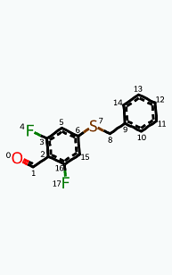 O=Cc1c(F)cc(SCc2ccccc2)cc1F